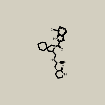 N#C[C@H](C[C@@H]1CCCNC1=O)NCC1CC2(CCCCC2)CN1C(=O)c1cc2cccc(Cl)c2[nH]1